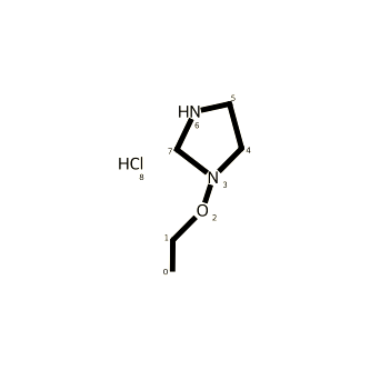 CCON1CCNC1.Cl